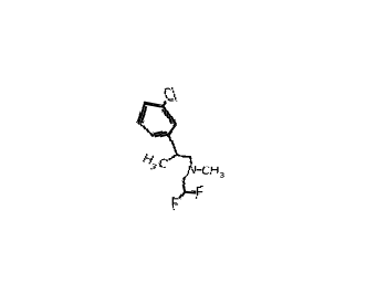 CC(CN(C)CC(F)F)c1cccc(Cl)c1